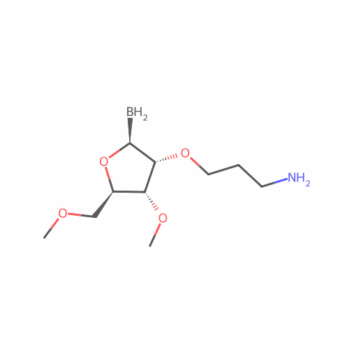 B[C@@H]1O[C@H](COC)[C@@H](OC)[C@H]1OCCCN